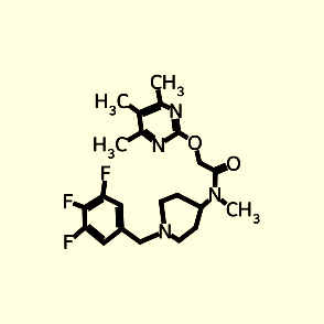 Cc1nc(OCC(=O)N(C)C2CCN(Cc3cc(F)c(F)c(F)c3)CC2)nc(C)c1C